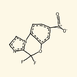 O=[N+]([O-])c1ccc2c(c1)OC(F)(F)c1nccn1-2